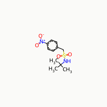 CC(C)(C)NS(=O)(=O)Cc1ccc([N+](=O)[O-])cc1